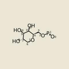 O=POC[C@H]1O[CH][C@H](O)[C@@H](O)[C@H]1O